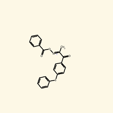 C/C(=N\OC(=O)c1ccccc1)C(=O)c1ccc(Sc2ccccc2)cc1